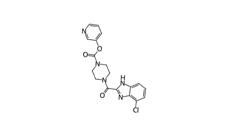 O=C(Oc1cccnc1)N1CCN(C(=O)c2nc3c(Cl)cccc3[nH]2)CC1